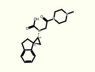 CN1CCN(C(=O)CN(C(=O)O)[C@@H]2C[C@@]23CCc2ccccc23)CC1